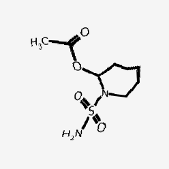 CC(=O)OC1CCCCN1S(N)(=O)=O